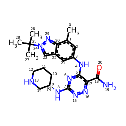 Cc1cc(Nc2nc(N[C@H]3CCCNC3)nnc2C(N)=O)cc2cn(C(C)(C)C)nc12